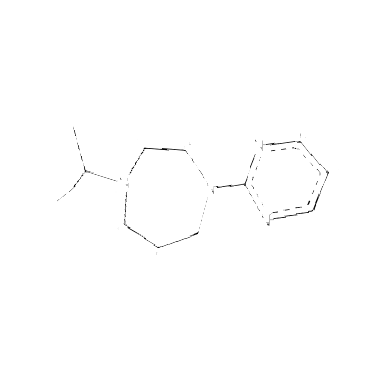 CC(C)N1CCCN(c2ncccn2)CC1